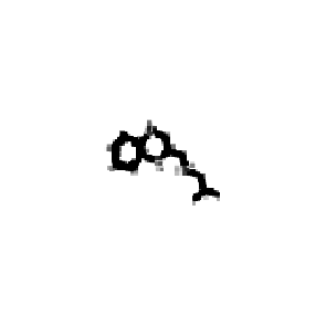 CC(C)CNCC1COc2ccccc2O1